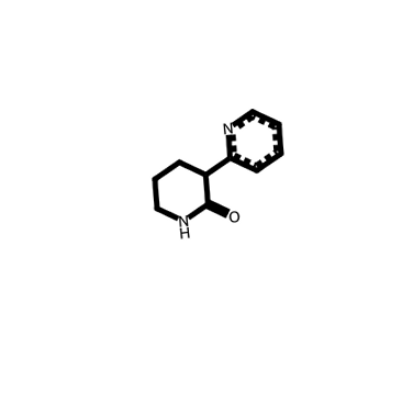 O=C1NCCCC1c1ccccn1